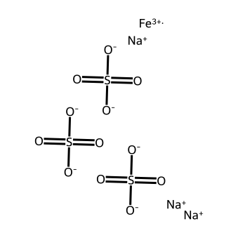 O=S(=O)([O-])[O-].O=S(=O)([O-])[O-].O=S(=O)([O-])[O-].[Fe+3].[Na+].[Na+].[Na+]